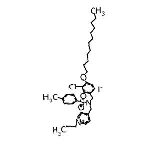 CCCCCCCCCCCCOc1ccc(CN(Cc2cc[n+](CCC)cc2)S(=O)(=O)c2ccc(C)cc2)cc1Cl.[I-]